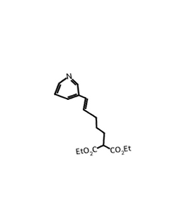 CCOC(=O)C(CCCC=Cc1cccnc1)C(=O)OCC